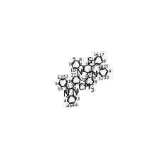 Cc1cc(-n2c3c(c4ccccc42)C2Sc4ccccc4C2c2c-3c3ccccc3n2-c2ccccc2)ccc1-c1nc2ccccc2nc1-c1ccccc1